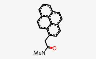 CNC(=O)Cc1ccc2ccc3cccc4ccc1c2c34